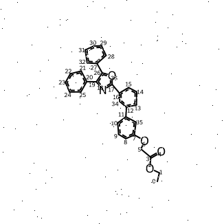 CCOC(=O)COc1cccc(-c2cccc(-c3nc(-c4ccccc4)c(-c4ccccc4)o3)c2)c1